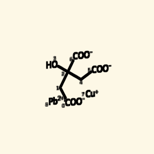 O=C([O-])CC(O)(CC(=O)[O-])C(=O)[O-].[Cu+].[Pb+2]